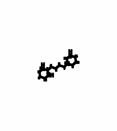 C1CNC(CCCCN2CCCNC2)NC1